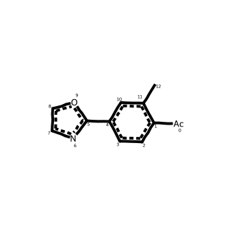 CC(=O)c1ccc(-c2ncco2)cc1C